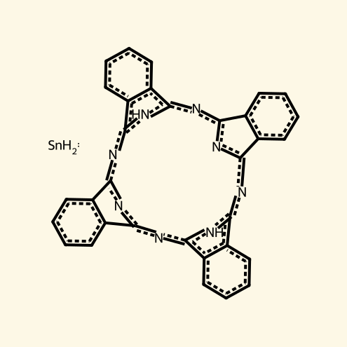 [SnH2].c1ccc2c(c1)-c1nc-2nc2[nH]c(nc3nc(nc4[nH]c(n1)c1ccccc41)-c1ccccc1-3)c1ccccc21